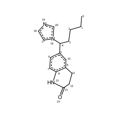 CCCCC(c1ccc2c(c1)CCC(=O)N2)n1ccnc1